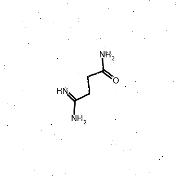 N=C(N)CCC(N)=O